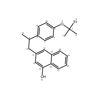 CCC(C)(C)Oc1ccc(C(C)Cc2cc(O)c3ccccc3c2)cc1